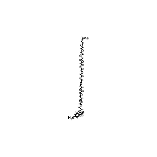 COCCCOCCOCCOCCOCCOCCOCCOCCOCCOCCOCCOCCOCCOS(=O)(=O)c1ccc(C)cc1